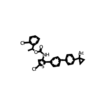 CC(=O)C1(c2ccc(-c3ccc(-c4sc(Cl)cc4NC(=O)OC(C)c4ccccc4Cl)cc3)cc2)CC1